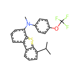 CC(C)c1cccc2c1sc1c(N(C)c3ccc(OC(F)(F)F)cc3)cccc12